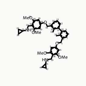 COc1cc(OCc2cccc(-c3cccc(COc4cc(OC)c(CNC5CC5)c(OC)c4)c3C)c2C)cc(OC)c1CNC1CC1